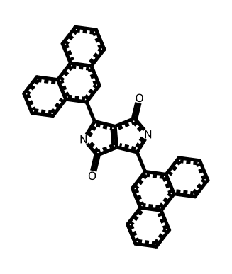 O=c1nc(-c2cc3ccccc3c3ccccc23)c2c(=O)nc(-c3cc4ccccc4c4ccccc34)c1=2